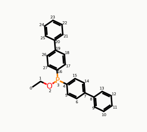 CCOP(c1ccc(-c2ccccc2)cc1)c1ccc(-c2ccccc2)cc1